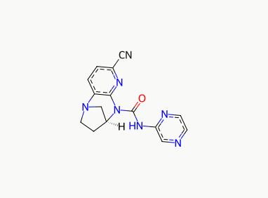 N#Cc1ccc2c(n1)N(C(=O)Nc1cnccn1)[C@H]1CCN2C1